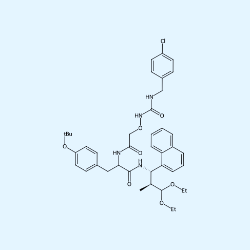 CCOC(OCC)[C@@H](C)[C@H](NC(=O)C(Cc1ccc(OC(C)(C)C)cc1)NC(=O)CONC(=O)NCc1ccc(Cl)cc1)c1cccc2ccccc12